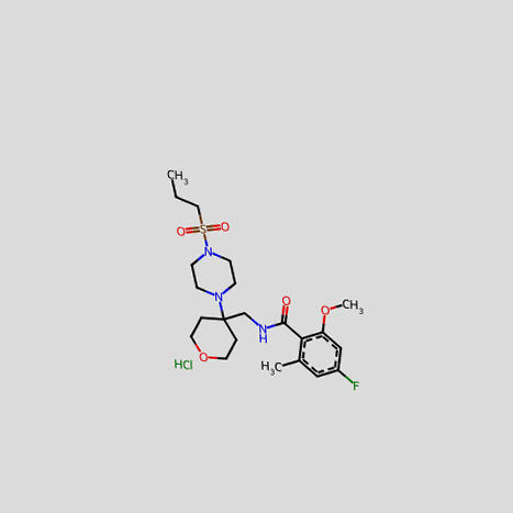 CCCS(=O)(=O)N1CCN(C2(CNC(=O)c3c(C)cc(F)cc3OC)CCOCC2)CC1.Cl